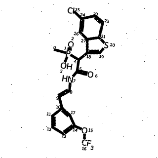 CP(=O)(O)C(C(=O)N/C=C/c1cccc(OC(F)(F)F)c1)C1=CSC2C=CC(Cl)=CC12